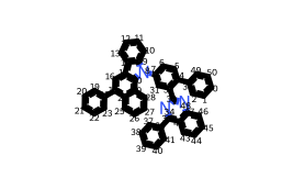 c1ccc(-c2ccc(-n3c4ccccc4c4cc(-c5ccccc5)c5ccccc5c43)cc2-c2nc(-c3ccccc3)c3ccccc3n2)cc1